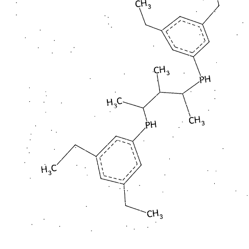 CCc1cc(CC)cc(PC(C)C(C)C(C)Pc2cc(CC)cc(CC)c2)c1